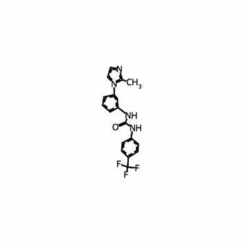 Cc1nccn1-c1cccc(NC(=O)Nc2ccc(C(F)(F)F)cc2)c1